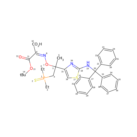 CCP(=S)(CC)CC(C)(ON=C(C(=O)O)C(=O)OC(C)(C)C)c1csc(NC(c2ccccc2)(c2ccccc2)c2ccccc2)n1